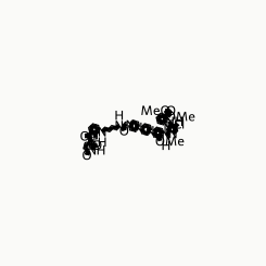 COc1cc(N2CCC(N3CCN(CC(=O)NCCCCNc4cccc5c4CN(C4CCC(=O)NC4=O)C5=O)CC3)CC2)ccc1Nc1ncc(Cl)c(Nc2ccccc2P(=O)(OC)OC)n1